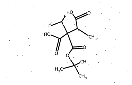 CC(C(=O)O)C(C(=O)O)(C(=O)OC(C)(C)C)C(F)F